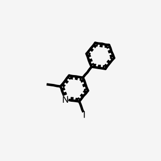 Cc1cc(-c2ccccc2)cc(I)n1